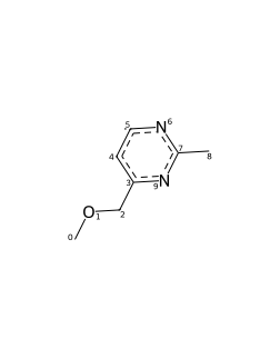 COCc1c[c]nc(C)n1